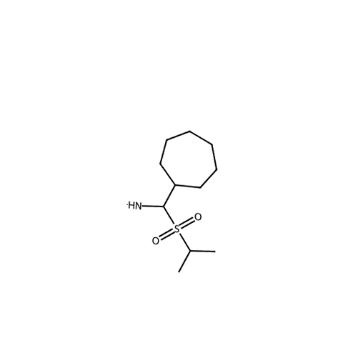 CC(C)S(=O)(=O)C([NH])C1CCCCCC1